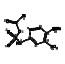 CCC(=O)OS(=O)(=O)Nc1ccc(OC)c([N+](=O)[O-])c1